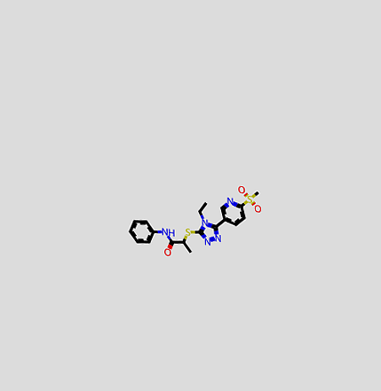 CCn1c(SC(C)C(=O)Nc2ccccc2)nnc1-c1ccc(S(C)(=O)=O)nc1